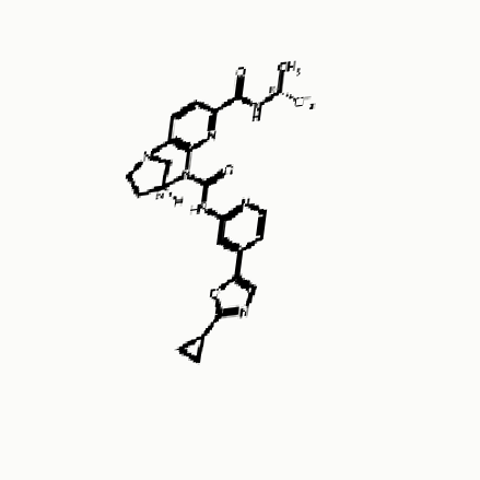 C[C@@H](NC(=O)c1ccc2c(n1)N(C(=O)Nc1cc(-c3cnc(C4CC4)o3)ccn1)[C@H]1CCN2C1)C(F)(F)F